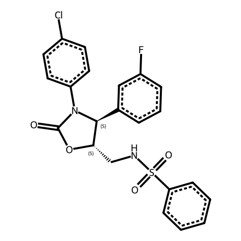 O=C1O[C@@H](CNS(=O)(=O)c2ccccc2)[C@H](c2cccc(F)c2)N1c1ccc(Cl)cc1